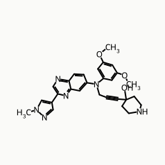 COc1cc(OC)cc(N(CC#CC2(O)CCNCC2)c2ccc3ncc(-c4cnn(C)c4)nc3c2)c1